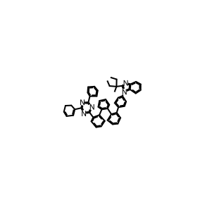 CCC(C)(CC)c1nc2ccccc2n1-c1ccc(-c2ccccc2-c2ccccc2-c2ccccc2-c2nc(C3=CC=CCC3)nc(-c3ccccc3)n2)cc1